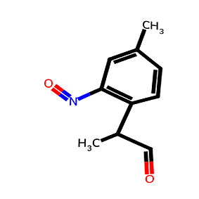 Cc1ccc(C(C)C=O)c(N=O)c1